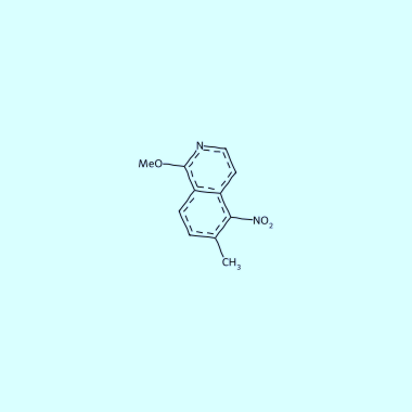 COc1nccc2c([N+](=O)[O-])c(C)ccc12